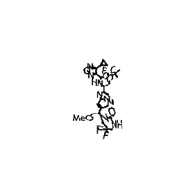 COC[C@H](c1cnn2cc([C@H](COC(C)(C)C(F)(F)F)NC(=O)c3nonc3C3CC3)nc2c1)N1CC(F)(F)CNC1=O